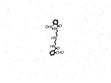 O=Cc1ccccc1C(=O)NCCCNCCCNC(=O)c1ccccc1C=O